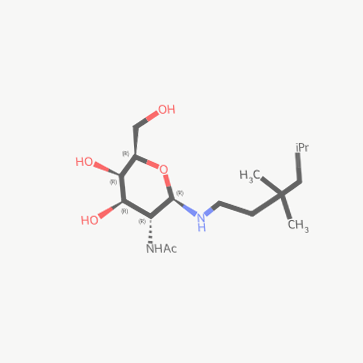 CC(=O)N[C@@H]1[C@@H](O)[C@@H](O)[C@@H](CO)O[C@H]1NCCC(C)(C)CC(C)C